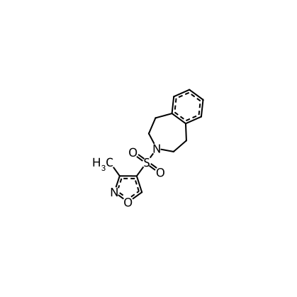 Cc1nocc1S(=O)(=O)N1CCc2ccccc2CC1